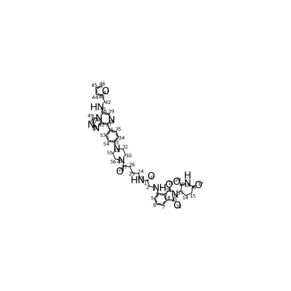 O=C(CNc1cccc2c1C(=O)N(C1CCC(=O)NC1=O)C2=O)NCCCC(=O)N1CCN(c2ccc(-c3ncc(NCc4ccco4)n4cnnc34)cc2)CC1